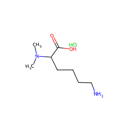 CN(C)C(CCCCN)C(=O)O.Cl